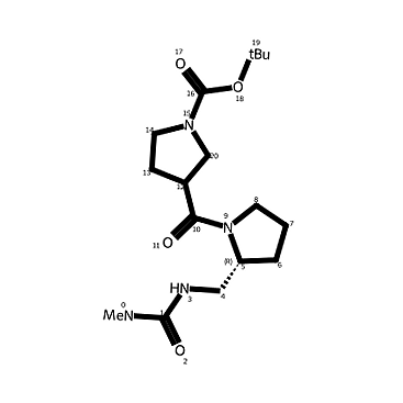 CNC(=O)NC[C@H]1CCCN1C(=O)C1CCN(C(=O)OC(C)(C)C)C1